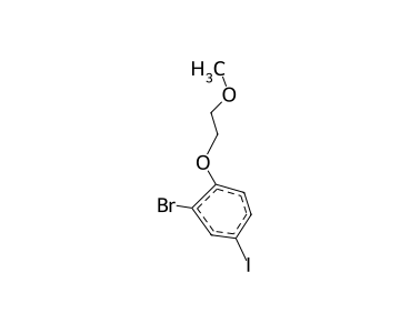 COCCOc1ccc(I)cc1Br